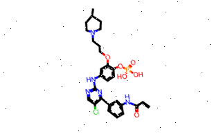 C=CC(=O)Nc1cccc(-c2nc(Nc3ccc(OP(=O)(O)O)c(OCCCN4CCC(C)CC4)c3)ncc2Cl)c1